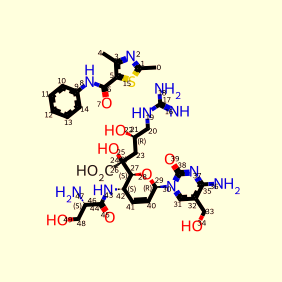 Cc1nc(C)c(C(=O)Nc2ccccc2)s1.N=C(N)NC[C@H](O)C[C@](O)(C(=O)O)[C@H]1O[C@@H](n2cc(CO)c(N)nc2=O)C=C[C@@H]1NC(=O)[C@@H](N)CO